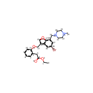 CCOC(=O)Cc1ccccc1OCc1coc2c(CN3CCN(C)CC3)cc(Br)cc12